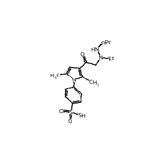 CCCNN(CC)CC(=O)c1cc(C)n(-c2ccc(S(=O)(=O)S)cc2)c1C